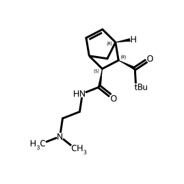 CN(C)CCNC(=O)[C@H]1C2C=C[C@@H](C2)[C@H]1C(=O)C(C)(C)C